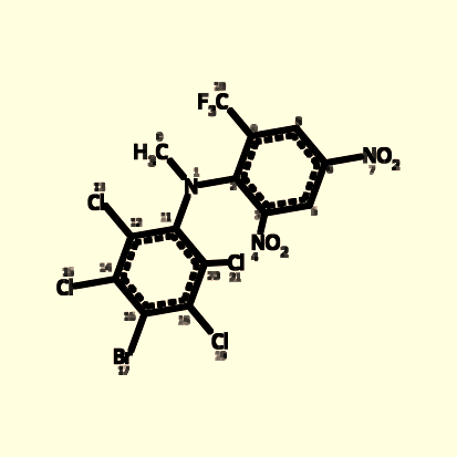 CN(c1c([N+](=O)[O-])cc([N+](=O)[O-])cc1C(F)(F)F)c1c(Cl)c(Cl)c(Br)c(Cl)c1Cl